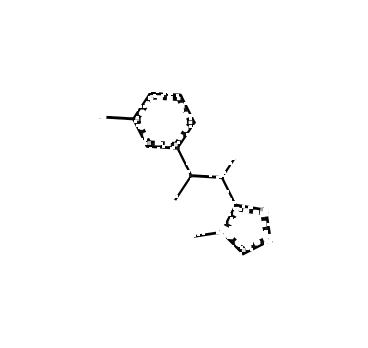 CC(c1cccc(Br)c1)C(O)c1nncn1C